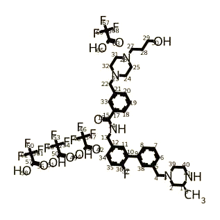 C[C@H]1CN(Cc2cccc(-c3cc(CNC(=O)c4cccc(CN5CCN(CCCO)CC5)c4)ccc3F)c2)CCN1.O=C(O)C(F)(F)F.O=C(O)C(F)(F)F.O=C(O)C(F)(F)F.O=C(O)C(F)(F)F